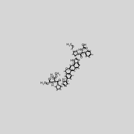 COC[C@H]1C[C@@H](c2nc3ccc4cc5c(cc4c3[nH]2)OCc2cc(-c3cnc([C@@H]4CCCN4C(=O)[C@@H](NC(=O)OC)[C@@H](C)OC)[nH]3)ccc2-5)N(C(=O)[C@H](NC(=O)O)c2ccccc2)C1